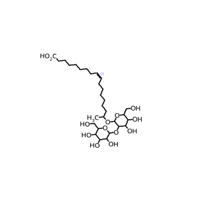 CC(CCCCCC/C=C\CCCCCCCC(=O)O)OC1OC(CO)C(O)C(O)C1OC1OC(CO)C(O)C(O)C1O